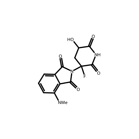 CNc1cccc2c1C(=O)N(C1(F)CC(O)C(=O)NC1=O)C2=O